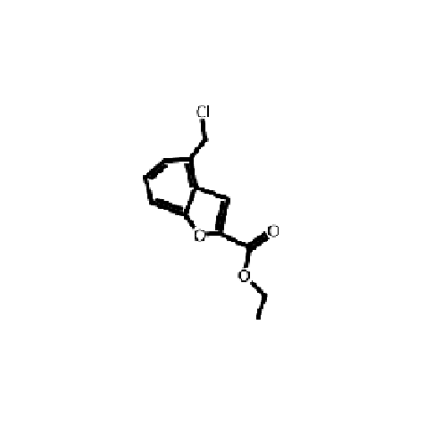 CCOC(=O)c1cc2c(CCl)cccc2o1